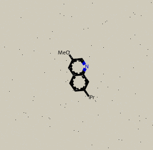 COc1cnc2cc(C(C)C)ccc2c1